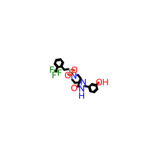 O=C1NC(c2cccc(O)c2)=NC12CCN(S(=O)(=O)CCc1ccccc1C(F)(F)F)CC2